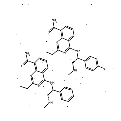 CCc1nc(N[C@H](CNC)c2ccc(Cl)cc2)c2cccc(C(N)=O)c2n1.CCc1nc(N[C@H](CNC)c2ccccc2)c2cccc(C(N)=O)c2n1